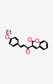 CCOc1ccc(/C=C/C(=O)c2cc3ccccc3oc2=O)cc1